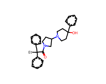 CCC(C(=O)N1CCC(N2CCC(O)(c3ccccc3)CC2)C1)(c1ccccc1)c1ccccc1